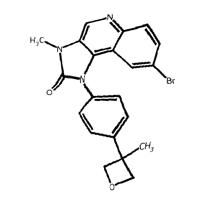 Cn1c(=O)n(-c2ccc(C3(C)COC3)cc2)c2c3cc(Br)ccc3ncc21